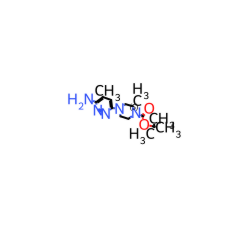 Cc1cc(N2CCN(C(=O)OC(C)(C)C)[C@@H](C)C2)nnc1N